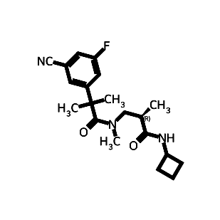 C[C@H](CN(C)C(=O)C(C)(C)c1cc(F)cc(C#N)c1)C(=O)NC1CCC1